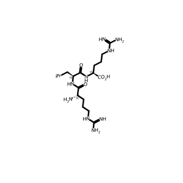 CC(C)C[C@H](NC(=O)[C@@H](N)CCCNC(=N)N)C(=O)N[C@@H](CCCNC(=N)N)C(=O)O